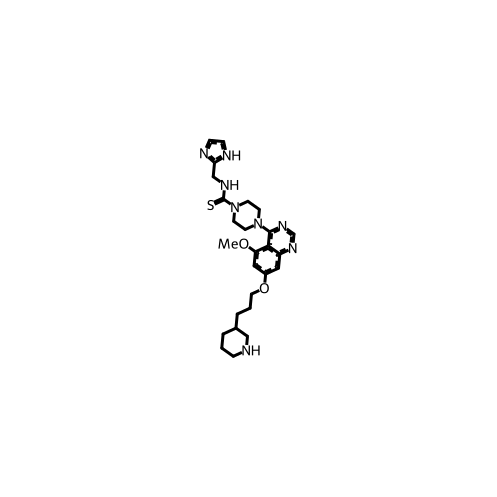 COc1cc(OCCCC2CCCNC2)cc2ncnc(N3CCN(C(=S)NCc4ncc[nH]4)CC3)c12